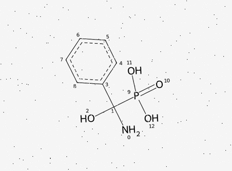 NC(O)(c1ccccc1)P(=O)(O)O